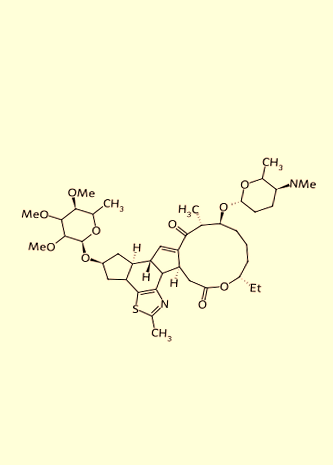 CC[C@H]1CCC[C@H](O[C@H]2CC[C@H](NC)C(C)O2)[C@@H](C)C(=O)C2=C[C@@H]3C(c4nc(C)sc4C4C[C@@H](O[C@@H]5OC(C)[C@H](OC)C(OC)C5OC)C[C@H]43)[C@@H]2CC(=O)O1